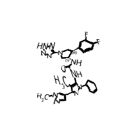 Cc1c(-c2cnn(C)c2)nn(-c2ccccc2)c1NC(=O)N[C@@H]1CN(c2nn[nH]n2)C[C@H]1c1ccc(F)c(F)c1